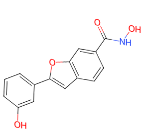 O=C(NO)c1ccc2cc(-c3cccc(O)c3)oc2c1